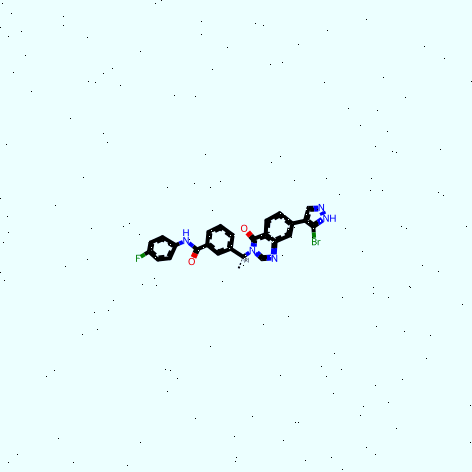 C[C@H](c1cccc(C(=O)Nc2ccc(F)cc2)c1)n1cnc2cc(-c3cn[nH]c3Br)ccc2c1=O